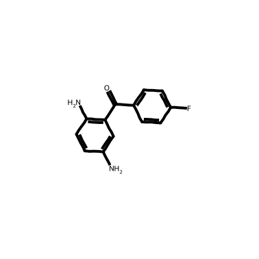 Nc1ccc(N)c(C(=O)c2ccc(F)cc2)c1